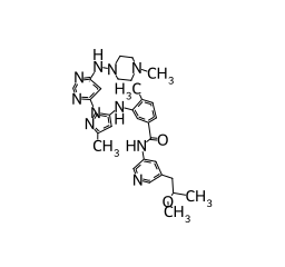 COC(C)Cc1cncc(NC(=O)c2ccc(C)c(Nc3cc(C)nn3-c3cc(NN4CCN(C)CC4)ncn3)c2)c1